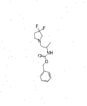 CC(CN1CCC(F)(F)C1)NC(=O)OCc1ccccc1